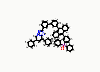 O=P(c1ccccc1)(c1ccccc1)c1cccc(-c2c3ccccc3c(-c3cccc(-c4cccc(-c5nc6c(-c7ccccc7)cc(-c7ccccc7)cn6n5)c4)c3)c3ccccc23)c1